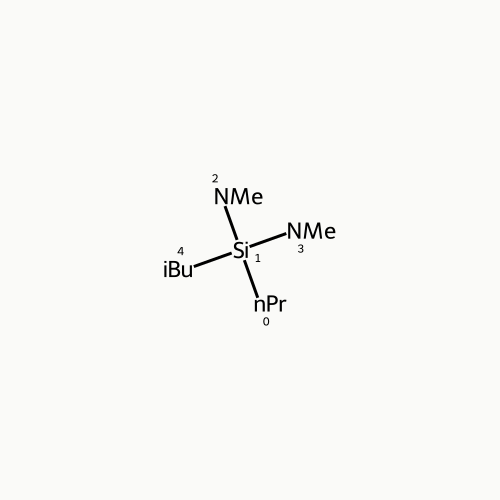 CCC[Si](NC)(NC)C(C)CC